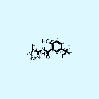 O=C(Nc1nnn[nH]1)c1cc(C(F)(F)F)ccc1O